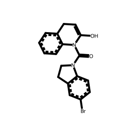 O=C(N1CCc2cc(Br)ccc21)N1C(O)=CCc2ccccc21